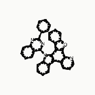 c1ccc(-c2nc(-n3c4ccccc4c4c5cccnc5c5oc6ccccc6c5c43)c3ccccc3n2)cc1